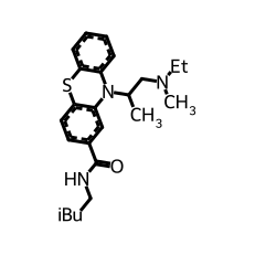 CCC(C)CNC(=O)c1ccc2c(c1)N(C(C)CN(C)CC)c1ccccc1S2